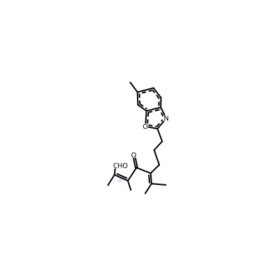 CC(C)=C(CCCc1nc2ccc(C)cc2o1)C(=O)/C(C)=C(/C)C=O